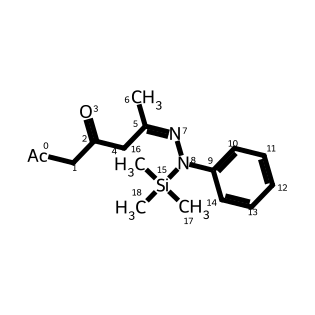 CC(=O)CC(=O)CC(C)=NN(c1ccccc1)[Si](C)(C)C